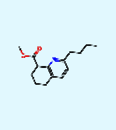 CCCCc1ccc2c(n1)C(C(=O)OC)CCC2